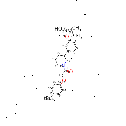 CC(C)(Oc1cccc(C2CCCN(C(=O)COc3ccc(C(C)(C)C)cc3)C2)c1)C(=O)O